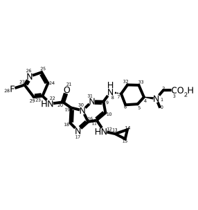 CN(CC(=O)O)[C@H]1CC[C@H](Nc2cc(NC3CC3)c3ncc(C(=O)Nc4ccnc(F)c4)n3n2)CC1